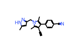 C#Cc1c(-c2ccc(C#N)cc2)c(C)n(Cc2cc(C)[nH]n2)c1C